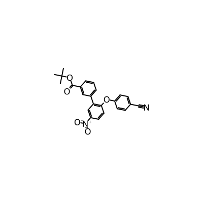 CC(C)(C)OC(=O)c1cccc(-c2cc([N+](=O)[O-])ccc2Oc2ccc(C#N)cc2)c1